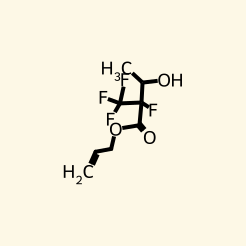 C=CCOC(=O)C(F)(C(C)O)C(F)(F)F